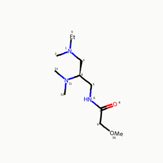 CCN(C)C[C@@H](CNC(=O)COC)N(C)C